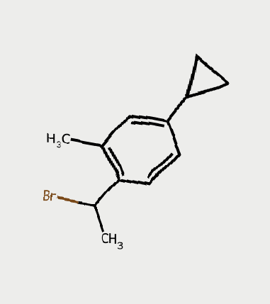 Cc1cc(C2CC2)ccc1C(C)Br